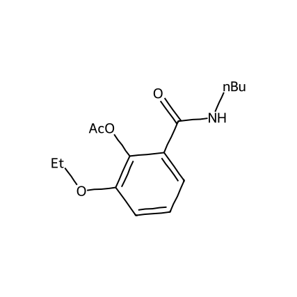 CCCCNC(=O)c1cccc(OCC)c1OC(C)=O